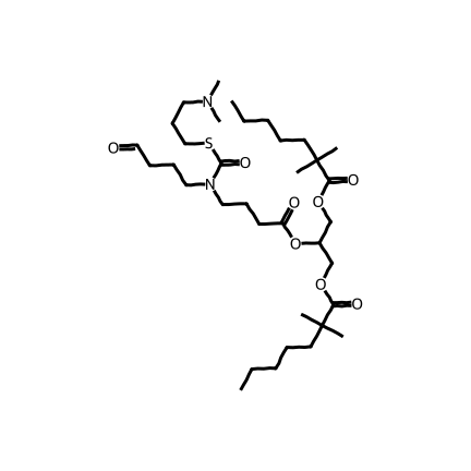 CCCCCC(C)(C)C(=O)OCC(COC(=O)C(C)(C)CCCCC)OC(=O)CCCN(CCCC=O)C(=O)SCCCN(C)C